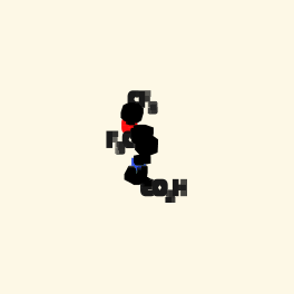 O=C(O)C[C@H]1CCCN(CCc2ccc3ccc(OC4CCC(C(F)(F)F)CC4)c(C(F)(F)F)c3c2)C1